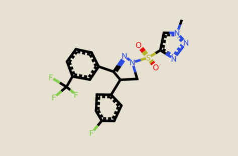 Cn1cc(S(=O)(=O)N2CC(c3ccc(F)cc3)C(c3cccc(C(F)(F)F)c3)=N2)nn1